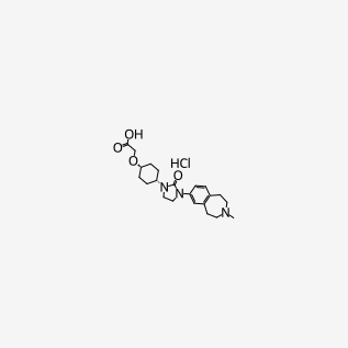 CN1CCc2ccc(N3CCN([C@H]4CC[C@H](OCC(=O)O)CC4)C3=O)cc2CC1.Cl